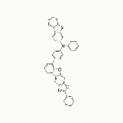 c1ccc(-c2nc3cc4c(cc3o2)oc2c(-c3ccc(N(c5ccccc5)c5ccc6c(c5)sc5ccccc56)cc3)cccc24)cc1